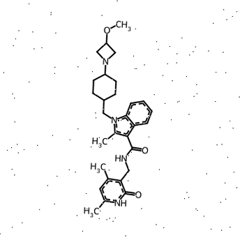 COC1CN(C2CCC(Cn3c(C)c(C(=O)NCc4c(C)cc(C)[nH]c4=O)c4ccccc43)CC2)C1